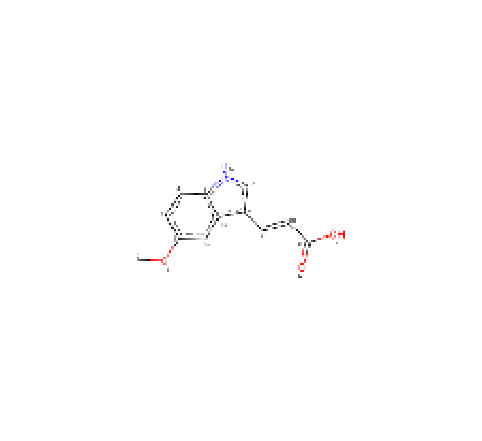 COc1ccc2[nH]cc(/C=C/C(=O)O)c2c1